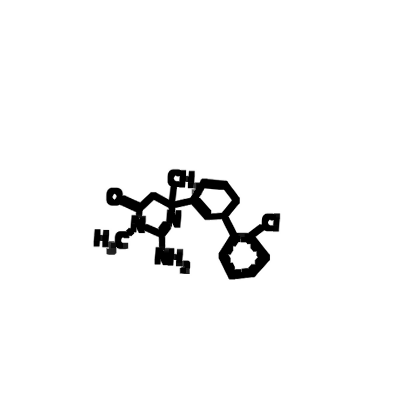 CN1C(=O)CC(C)(C2=CC(c3ccccc3Cl)CC=C2)N=C1N